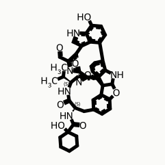 CC(C)[C@@H]1NC(=O)[C@@H](NC(=O)C2(O)CCCCC2)Cc2ccc3c(c2)C24c5cccc(c5NC2O3)-c2ccc(O)c3[nH]cc(c23)-c2oc(nc2C=O)-c2nc1oc24